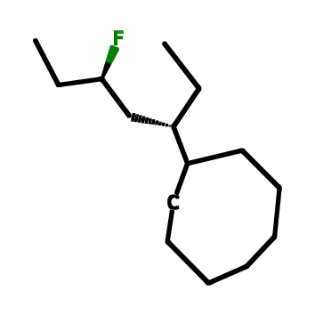 CC[C@@H](F)C[C@H](CC)C1CCCCCCC1